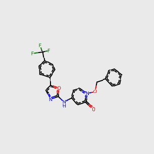 O=c1cc(Nc2ncc(-c3ccc(C(F)(F)F)cc3)o2)ccn1OCc1ccccc1